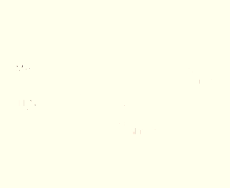 CCCOc1cc(OCCC)c(C(=O)CCc2ccc(OC)c(N)c2)cc1C